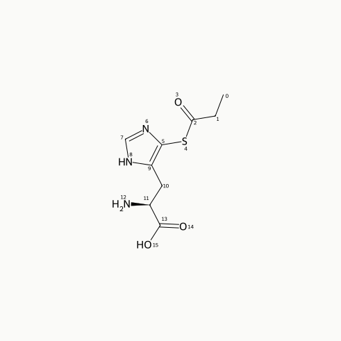 CCC(=O)Sc1nc[nH]c1C[C@H](N)C(=O)O